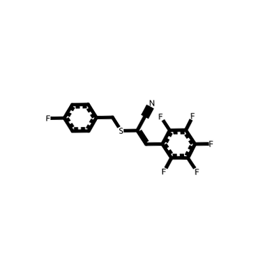 N#C/C(=C\c1c(F)c(F)c(F)c(F)c1F)SCc1ccc(F)cc1